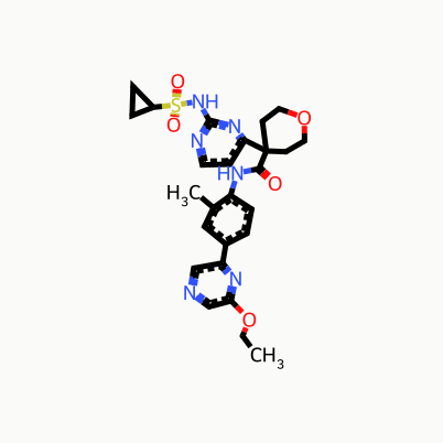 CCOc1cncc(-c2ccc(NC(=O)C3(c4ccnc(NS(=O)(=O)C5CC5)n4)CCOCC3)c(C)c2)n1